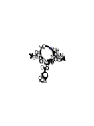 C[C@@H]1CC/C=C\[C@H]2CC2(C(=O)NS(=O)(=O)C2(C)CC2)NC(=O)[C@@H]2C[C@@H](OC(=O)c3ccc4c(c3)OCCO4)CN2C(=O)[C@@H](NC(=O)OC(C)(C)C)[C@H](C)C1